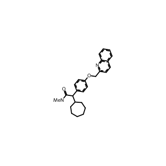 CNC(=O)C(c1ccc(OCc2ccc3ccccc3n2)cc1)C1CCCCCC1